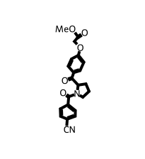 COC(=O)COc1ccc(C(=O)C2CCCN2C(=O)c2ccc(C#N)cc2)cc1